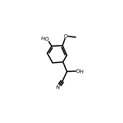 COC1=CC(C(O)C#N)CC=C1O